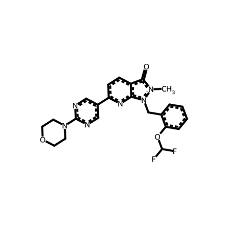 Cn1c(=O)c2ccc(-c3cnc(N4CCOCC4)nc3)nc2n1Cc1ccccc1OC(F)F